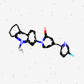 Cn1c2c(c3ccc(-n4ccc(-c5ccc(F)cn5)cc4=O)cc31)CCCC2